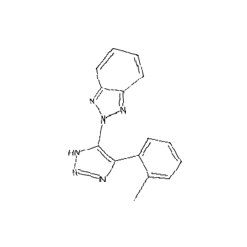 Cc1ccccc1-c1nn[nH]c1-n1nc2ccccc2n1